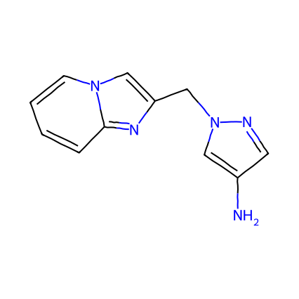 Nc1cnn(Cc2cn3ccccc3n2)c1